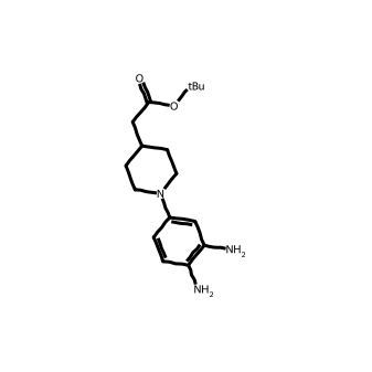 CC(C)(C)OC(=O)CC1CCN(c2ccc(N)c(N)c2)CC1